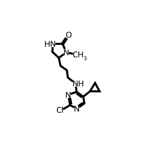 CN1C(=O)NCC1CCCNc1nc(Cl)ncc1C1CC1